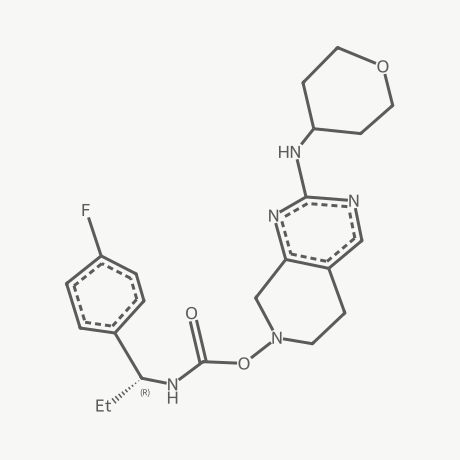 CC[C@@H](NC(=O)ON1CCc2cnc(NC3CCOCC3)nc2C1)c1ccc(F)cc1